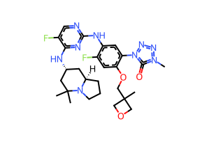 Cn1nnn(-c2cc(Nc3ncc(F)c(N[C@@H]4C[C@H]5CCCN5C(C)(C)C4)n3)c(F)cc2OCC2(C)COC2)c1=O